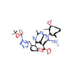 COC(=O)c1c(N)n(-c2c(C)ccc(OC)c2C)c2nc(C)nc(-c3ccccc3CNC(=O)OC(C)(C)C)c12